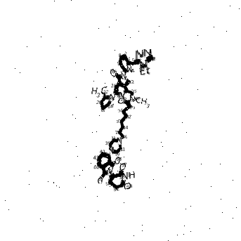 CCn1cnnc1-c1cccc(N2Cc3c(cc(N4CCC[C@H]4C)nc3CN(C)C(=O)CCCCCCCN3CCN(c4cccc5c4C(=O)N(C4CCC(=O)NC4=O)C5=O)CC3)C2=O)n1